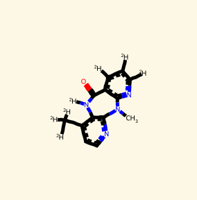 [2H]c1nc2c(c([2H])c1[2H])C(=O)N([2H])c1c(C([2H])([2H])[2H])ccnc1N2C